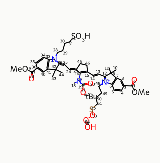 COC(=O)c1ccc2c(c1)C(C)(C)C(/C=C/C1=C(N(C)C(=O)OC(C)(C)C)C(=C/C=C3/N(CCCCS(=O)(=O)O)c4ccc(C(=O)OC)cc4C3(C)C)/CC1)=[N+]2CCCCSOOO